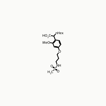 CCCCCCC(C(=O)O)c1ccc(OCCCNS(C)(=O)=O)cc1OC